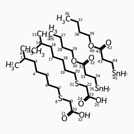 CC(C)CCCCCSCC(=O)O.CC(C)CCCCCSCC(=O)O.CCCCOC(=O)C[CH2][SnH].CCCCOC(=O)C[CH2][SnH]